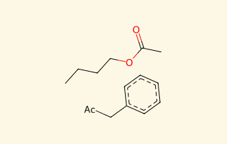 CC(=O)Cc1ccccc1.CCCCOC(C)=O